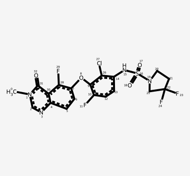 Cn1cnc2ccc(Oc3c(F)ccc(NS(=O)(=O)N4CCC(F)(F)C4)c3Cl)c(F)c2c1=O